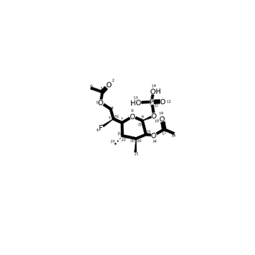 CC(=O)OC[C@H](F)C1O[C@@H](OP(=O)(O)O)C(OC(C)=O)[C@@H](C)[C@@H]1C